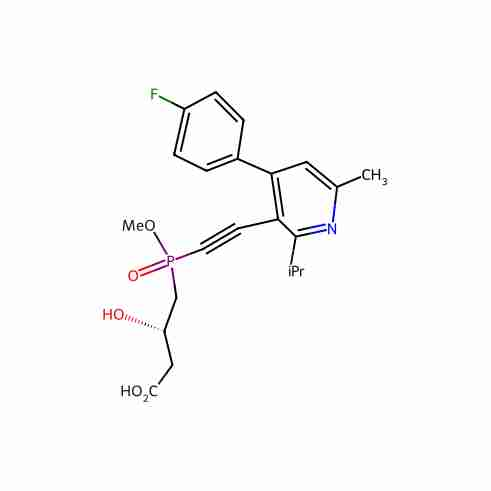 COP(=O)(C#Cc1c(-c2ccc(F)cc2)cc(C)nc1C(C)C)C[C@@H](O)CC(=O)O